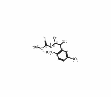 CCC(c1cc([N+](=O)[O-])ccc1C(=O)O)[C@H](CC)NC(=O)OC(C)(C)C